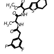 COC(=O)C(NC(=O)[C@H](C)NC(=O)Cc1cc(F)cc(F)c1)c1cc2c(s1)CCCC2